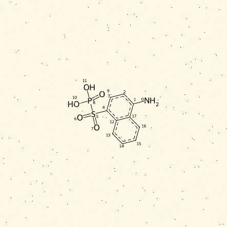 Nc1ccc(S(=O)(=O)P(=O)(O)O)c2ccccc12